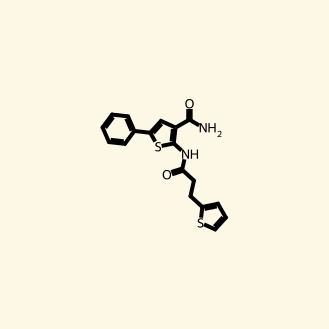 NC(=O)c1cc(-c2ccccc2)sc1NC(=O)CCc1cccs1